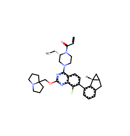 C=CC(=O)N1CCN(c2nc(OCC34CCCN3CCC4)nc3c(F)c(-c4cccc5c4[C@@H]4CC4C5)ccc23)C[C@@H]1CC#N